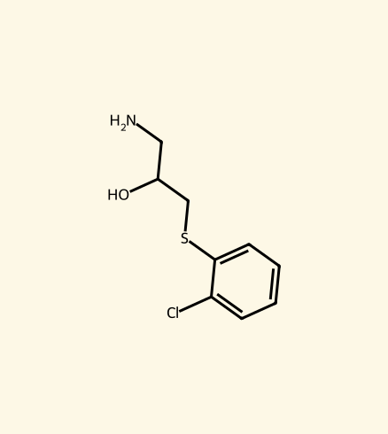 NCC(O)CSc1ccccc1Cl